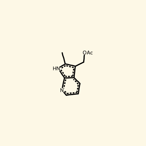 CC(=O)OCc1c(C)[nH]c2ncccc12